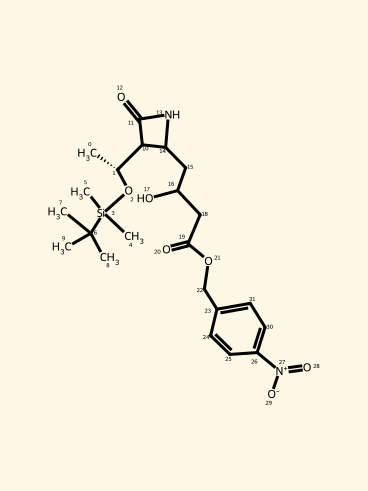 C[C@@H](O[Si](C)(C)C(C)(C)C)C1C(=O)NC1CC(O)CC(=O)OCc1ccc([N+](=O)[O-])cc1